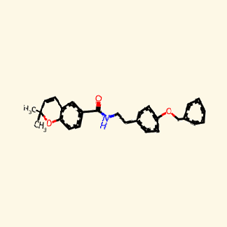 CC1(C)C=Cc2cc(C(=O)NCCc3ccc(OCc4ccccc4)cc3)ccc2O1